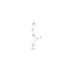 Cc1nccc(-c2ccc(CC(NC(=O)[C@@H]3Cc4cc5c(cc4CN3C(=O)N3CCC(F)(F)CC3)O[C@@H](c3ccc(OCc4ccc(Cl)c(Cl)c4)cc3)CO5)C(=O)O)cc2)c1C